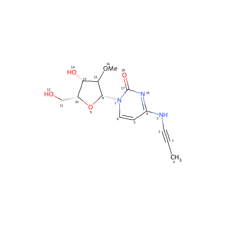 CC#CNc1ccn([C@@H]2O[C@H](CO)[C@H](O)C2OC)c(=O)n1